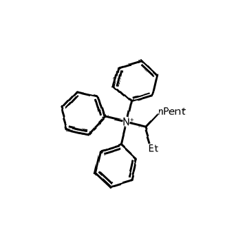 CCCCCC(CC)[N+](c1ccccc1)(c1ccccc1)c1ccccc1